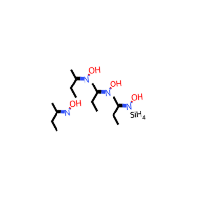 CCC(C)=NO.CCC(C)=NO.CCC(C)=NO.CCC(C)=NO.[SiH4]